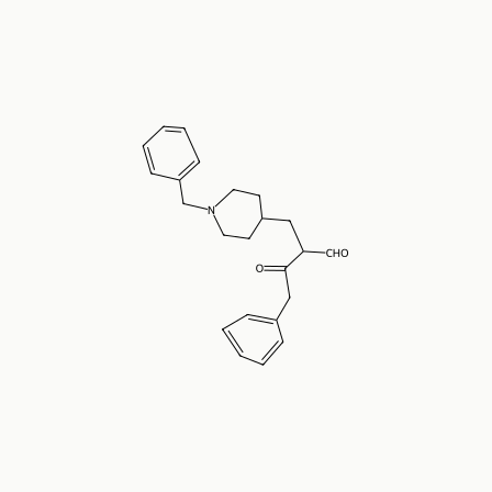 O=CC(CC1CCN(Cc2ccccc2)CC1)C(=O)Cc1ccccc1